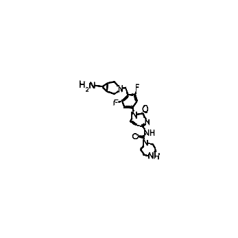 NC1C2CN(Cc3c(F)cc(-n4ccc(NC(=O)N5CCNCC5)nc4=O)cc3F)CC12